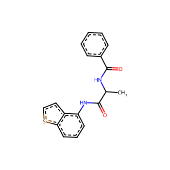 CC(NC(=O)c1ccccc1)C(=O)Nc1cccc2sccc12